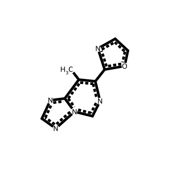 Cc1c(-c2ncco2)ncn2ncnc12